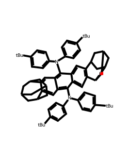 CC(C)(C)c1ccc(N(c2ccc(C(C)(C)C)cc2)c2c3cc4c(cc3c(N(c3ccc(C(C)(C)C)cc3)c3ccc(C(C)(C)C)cc3)c3cc5c(cc23)C2CC3CC(C2)CC5C3)C2CC3CC(CC4C3)C2)cc1